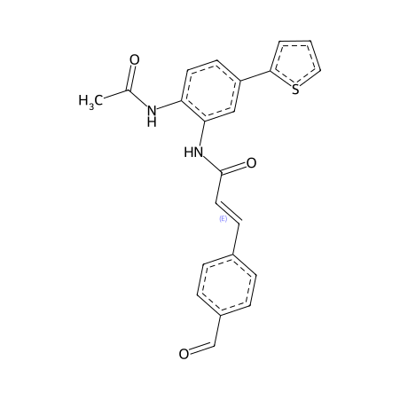 CC(=O)Nc1ccc(-c2cccs2)cc1NC(=O)/C=C/c1ccc(C=O)cc1